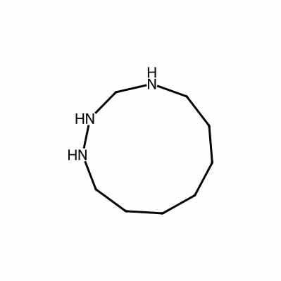 C1CCCNCNNCCC1